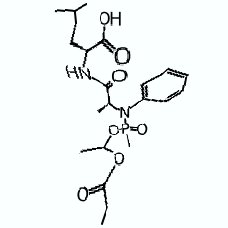 CCC(=O)OC(C)OP(C)(=O)N(c1ccccc1)[C@@H](C)C(=O)N[C@@H](CC(C)C)C(=O)O